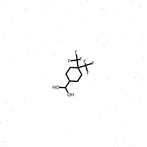 OC(O)C1CCC(C(F)(F)F)(C(F)(F)F)CC1